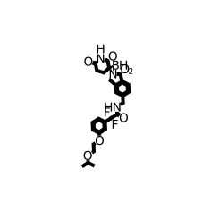 B[C@@]1(N2Cc3cc(CNC(=O)C(F)(F)c4cccc(OCCOC(C)C)c4)ccc3C2=O)CCC(=O)NC1=O